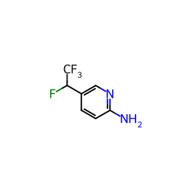 Nc1ccc(C(F)C(F)(F)F)cn1